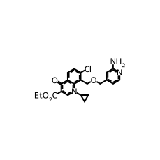 CCOC(=O)c1cn(C2CC2)c2c(COCc3ccnc(N)c3)c(Cl)ccc2c1=O